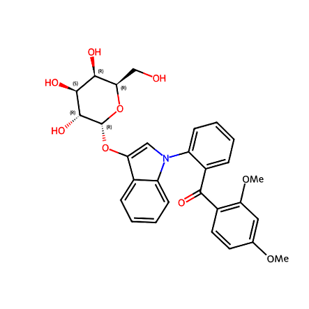 COc1ccc(C(=O)c2ccccc2-n2cc(O[C@H]3O[C@H](CO)[C@H](O)[C@H](O)[C@H]3O)c3ccccc32)c(OC)c1